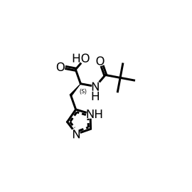 CC(C)(C)C(=O)N[C@@H](Cc1cnc[nH]1)C(=O)O